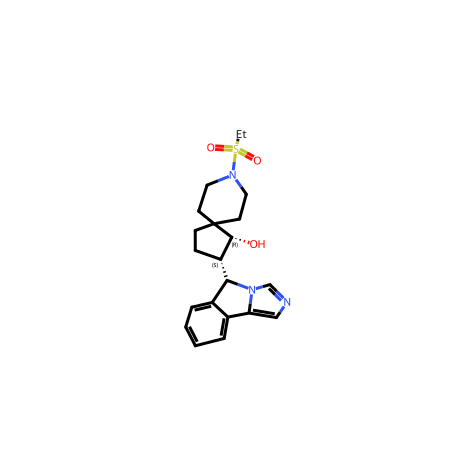 CCS(=O)(=O)N1CCC2(CC[C@@H](C3c4ccccc4-c4cncn43)[C@H]2O)CC1